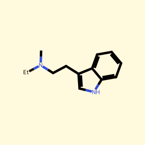 CCN(C)CCc1c[nH]c2ccccc12